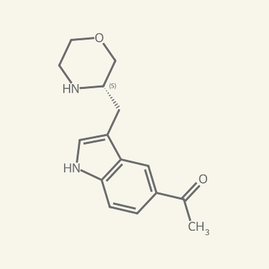 CC(=O)c1ccc2[nH]cc(C[C@H]3COCCN3)c2c1